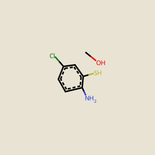 CO.Nc1ccc(Cl)cc1S